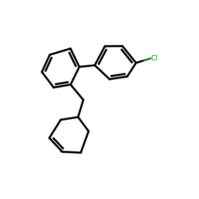 Clc1ccc(-c2ccccc2CC2CC=[C]CC2)cc1